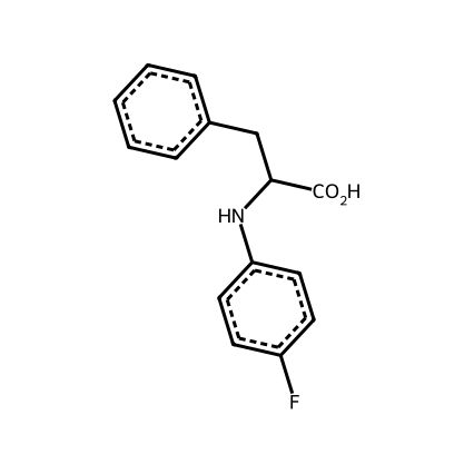 O=C(O)C(Cc1ccccc1)Nc1ccc(F)cc1